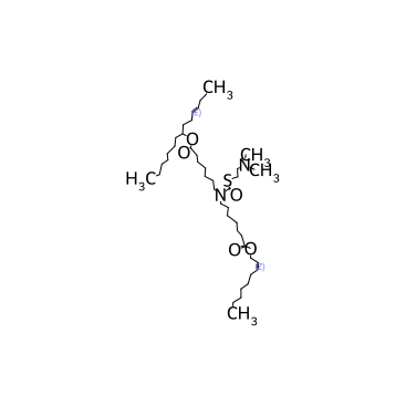 CCC/C=C/CCC(CCCCCCC)OC(=O)CCCCCCN(CCCCCCC(=O)OC/C=C\CCCCCC)C(=O)SCCN(C)C